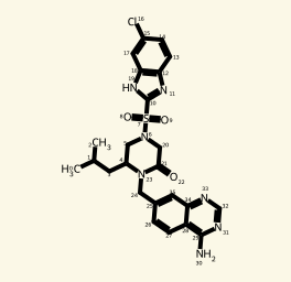 CC(C)CC1CN(S(=O)(=O)c2nc3ccc(Cl)cc3[nH]2)CC(=O)N1Cc1ccc2c(N)ncnc2c1